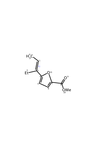 C/C=C(\CC)c1ccc(C(=O)OC)o1